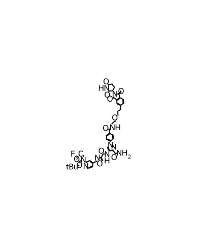 CC(C)(C)OC(=O)N(CC(F)(F)F)c1cc(-c2nc(C(=O)Nc3cn(-c4ccc(C(=O)NCCOCCCc5ccc6c(c5)C(=O)N(C5CCC(=O)NC5=O)C6=O)cc4)nc3C(N)=O)co2)ccn1